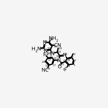 Cc1ccc(F)c2c(=O)n(-c3cc(F)cc(C#N)c3)c(C(C)Nc3nc(N)nc(N)c3C#N)nc12